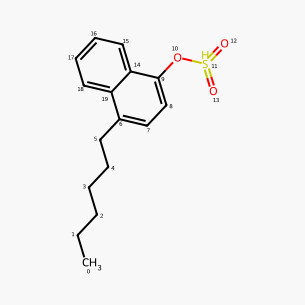 CCCCCCc1ccc(O[SH](=O)=O)c2ccccc12